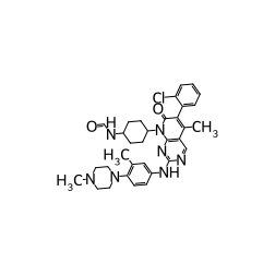 Cc1cc(Nc2ncc3c(C)c(-c4ccccc4Cl)c(=O)n(C4CCC(NC=O)CC4)c3n2)ccc1N1CCN(C)CC1